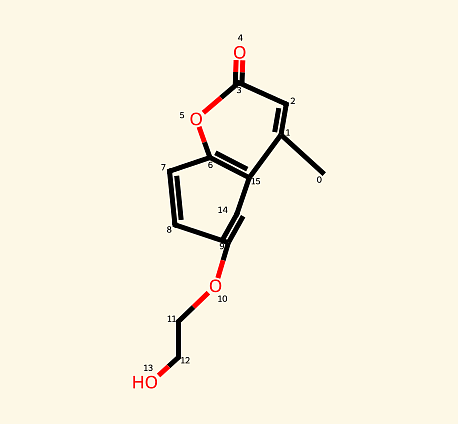 Cc1cc(=O)oc2ccc(OCCO)cc12